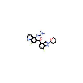 CN(C)/C=N/c1c(C(=O)c2ccc(F)c3nn(C4CCCCO4)cc23)cc(F)c2ncccc12